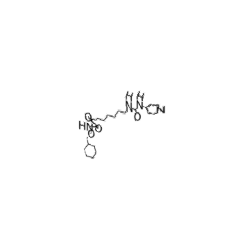 O=C(NCCCCCCS(=O)(=O)NOCC1CCCCC1)Nc1ccncc1